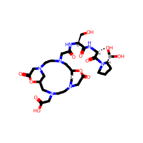 C[C@@H](NC(=O)[C@H](CO)NC(=O)CN1CCN2CC(=O)OC(CN(CC(=O)O)CCN3CC(=O)OC(C1)C3)C2)C(=O)N1CCC[C@H]1B(O)O